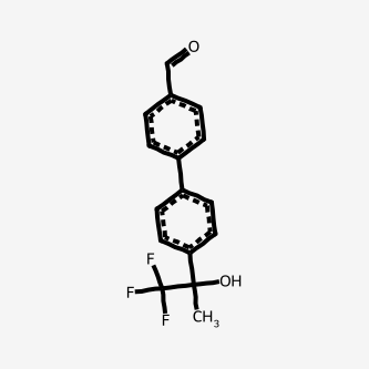 CC(O)(c1ccc(-c2ccc(C=O)cc2)cc1)C(F)(F)F